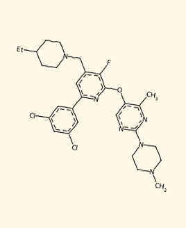 CCC1CCN(Cc2cc(-c3cc(Cl)cc(Cl)c3)nc(Oc3cnc(N4CCN(C)CC4)nc3C)c2F)CC1